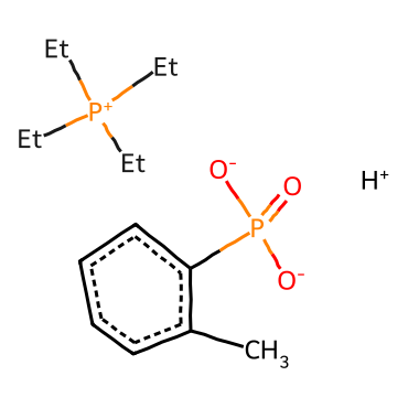 CC[P+](CC)(CC)CC.Cc1ccccc1P(=O)([O-])[O-].[H+]